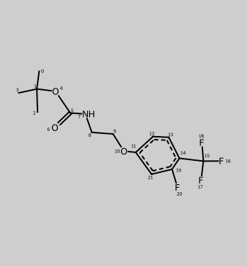 CC(C)(C)OC(=O)NCCOc1ccc(C(F)(F)F)c(F)c1